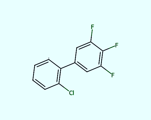 Fc1cc(-c2[c]cccc2Cl)cc(F)c1F